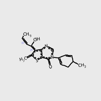 C=c1sc2c(=O)n(C3=CCC(C)C=C3)cnc2/c1=C(O)/C=C\C